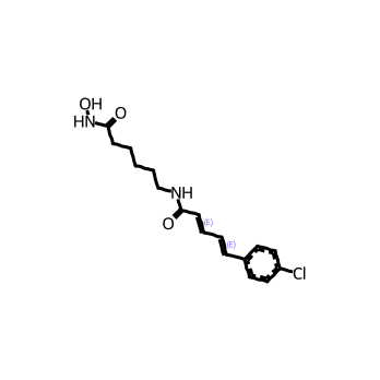 O=C(/C=C/C=C/c1ccc(Cl)cc1)NCCCCCC(=O)NO